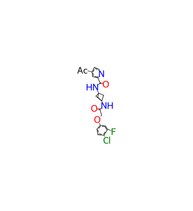 CC(=O)c1ccnc(C(=O)NC23CC(NC(=O)COc4ccc(Cl)c(F)c4)(C2)C3)c1